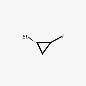 CC[C@H]1CC1I